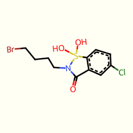 O=C1c2cc(Cl)ccc2S(O)(O)N1CCCCBr